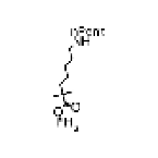 CCCCCNCCCCCC(C)(C)C(=O)OP